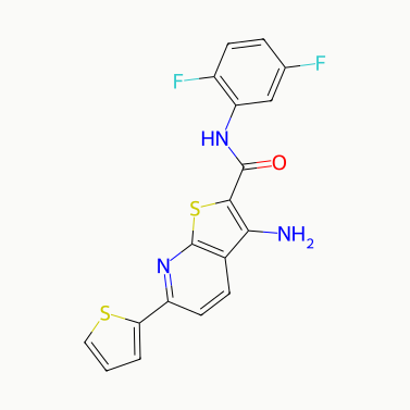 Nc1c(C(=O)Nc2cc(F)ccc2F)sc2nc(-c3cccs3)ccc12